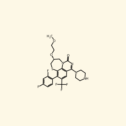 COCCO[C@@H]1CSc2c(-c3ccc(F)cc3F)c(C(F)(F)F)cc3c(N4CCNCC4)nc(=O)n(c23)C1